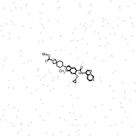 C[C@@H]1CC2(CC[C@H]1n1cc3cc(C(=O)Nc4cnn5cnccc45)c(OC4CC4)cc3n1)CN(C(=O)OC(C)(C)C)C2